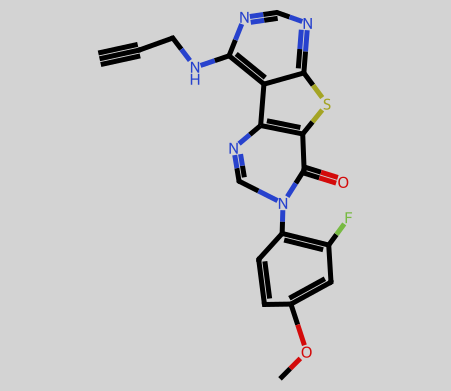 C#CCNc1ncnc2sc3c(=O)n(-c4ccc(OC)cc4F)cnc3c12